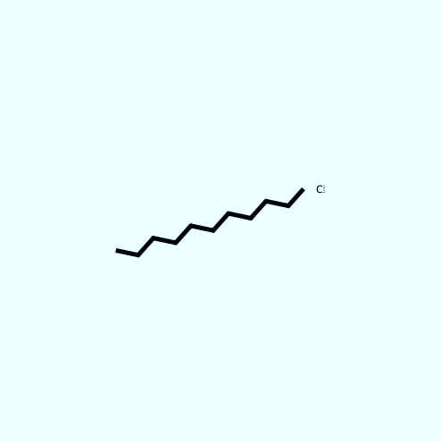 CCCCCCCCCCC.[C]